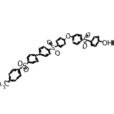 Cc1ccc(S(=O)(=O)c2ccc(-c3ccc(S(=O)(=O)c4ccc(Oc5ccc(S(=O)(=O)c6ccc(O)cc6)cc5)cc4)cc3)cc2)cc1